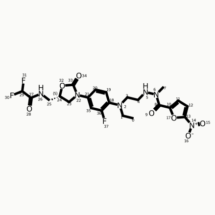 CCN(CCNN(C)C(=O)c1ccc([N+](=O)[O-])o1)c1ccc(N2C[C@H](CNC(=O)C(F)F)OC2=O)cc1F